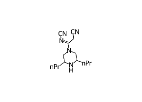 CCCC1CN(C(CC#N)=NC#N)CC(CCC)N1